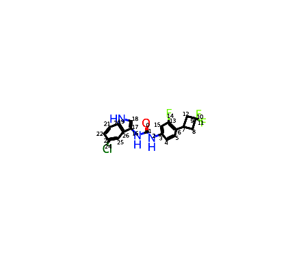 O=C(Nc1ccc(C2CC(F)(F)C2)c(F)c1)Nc1c[nH]c2ccc(Cl)cc12